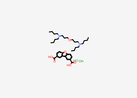 CCCCN(CCCC)CCCOCCCN(CCCC)CCCC.Cl.Cl.O=C(O)c1ccc2oc3ccc(C(=O)O)cc3c2c1